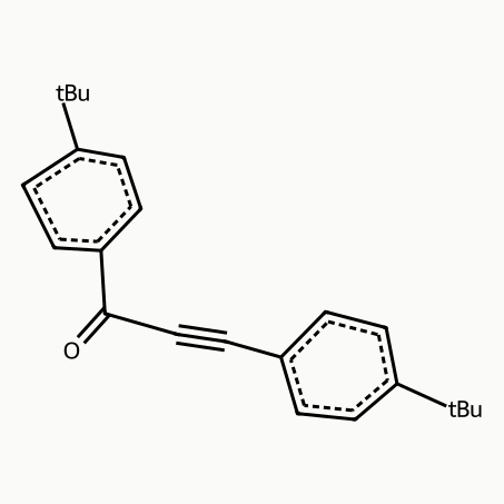 CC(C)(C)c1ccc(C#CC(=O)c2ccc(C(C)(C)C)cc2)cc1